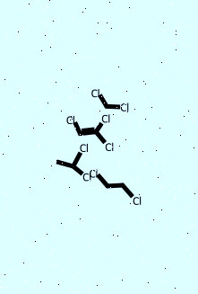 CC(Cl)Cl.ClC=C(Cl)Cl.ClCCCl.ClCCl